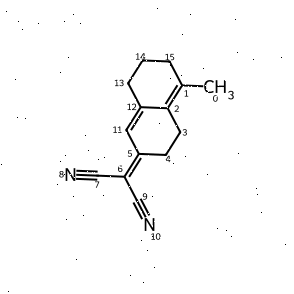 CC1=C2CCC(=C(C#N)C#N)C=C2CCC1